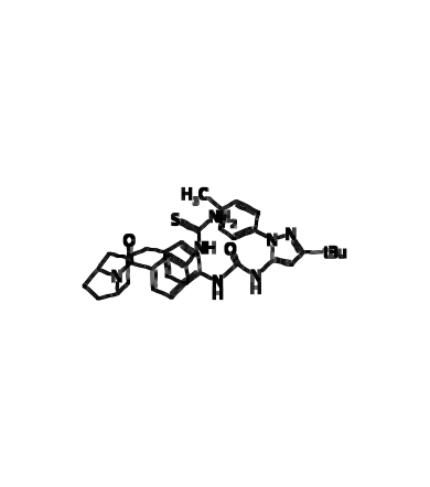 Cc1ccc(-n2nc(C(C)(C)C)cc2NC(=O)Nc2ccc(CC3CC4CCC(C3)N4C(=O)c3cccc(NC(N)=S)c3)cc2)cc1